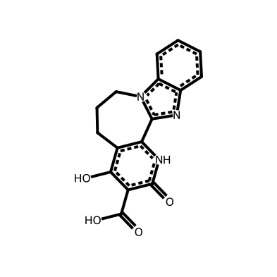 O=C(O)c1c(O)c2c([nH]c1=O)-c1nc3ccccc3n1CCC2